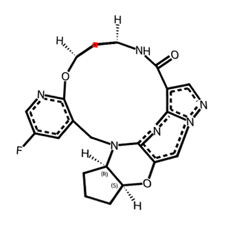 O=C1N[C@H]2C[C@H](C2)Oc2ncc(F)cc2CN2c3nc4c1cnn4cc3O[C@H]1CCC[C@H]12